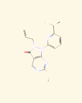 C=CCn1c(=O)c2cnc(SC)nc2n1-c1cccc([C@H](C)O)n1